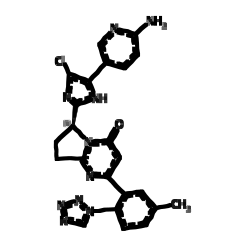 Cc1ccc(-n2cnnn2)c(-c2cc(=O)n3c(n2)CC[C@H]3c2nc(Cl)c(-c3ccc(N)nc3)[nH]2)c1